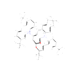 Cc1cc2c3c(c1)N(c1ccc(C(C)(C)C)cc1-c1cccc(C(C)(C)C)c1)c1cc4c(cc1B3c1ccc(C(C)(C)C)cc1N2c1cccc(C(C)(C)C)c1)CC(C)(C)C4